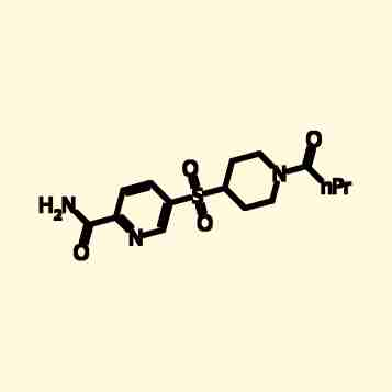 CCCC(=O)N1CCC(S(=O)(=O)c2ccc(C(N)=O)nc2)CC1